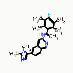 Bc1c(B)c(C(=C)Nc2cc3cc(-c4cnc(C)n4C)ccc3cn2)c(B)c(B)c1F